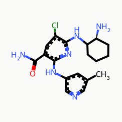 Cc1cncc(Nc2nc(NC3CCCC[C@@H]3N)c(Cl)cc2C(N)=O)c1